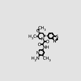 CO[C@H]1C[C@H](c2ccc3scnc3c2)N(C(=O)C(=O)Nc2cnc(N)c(C)c2)C[C@H]1C